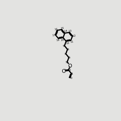 C=CC(=O)OCCCCCc1cccc2ccccc12